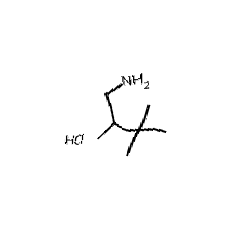 CC(CN)C(C)(C)C.Cl